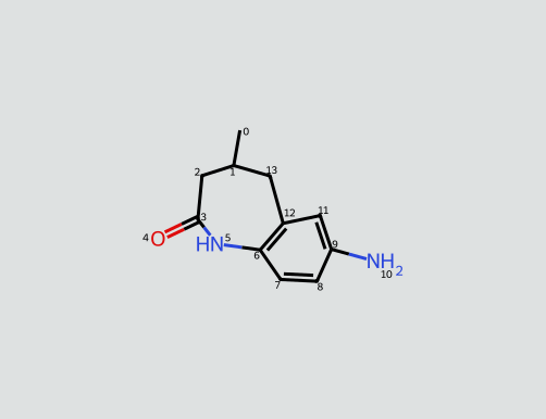 CC1CC(=O)Nc2ccc(N)cc2C1